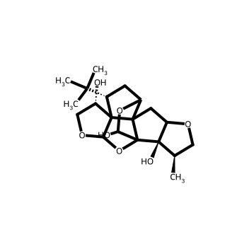 C[C@@H]1COC2CC34C5C[C@@H](C(C)(C)C)C36C(OC[C@@H]6O)OC4(C(O)O5)[C@]21O